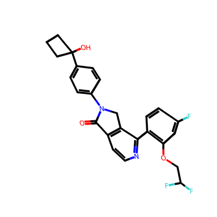 O=C1c2ccnc(-c3ccc(F)cc3OCC(F)F)c2CN1c1ccc(C2(O)CCC2)cc1